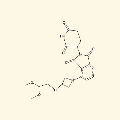 COC(COC1CN(c2cccc3c2C(=O)N(C2CCC(=O)NC2=O)C3=O)C1)OC